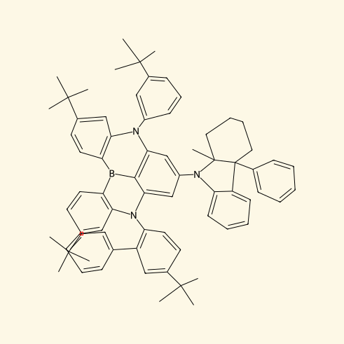 CC(C)(C)c1cccc(N2c3cc(C(C)(C)C)ccc3B3c4ccc(C(C)(C)C)cc4N(c4ccc(C(C)(C)C)cc4-c4ccccc4)c4cc(N5c6ccccc6C6(c7ccccc7)CCCCC56C)cc2c43)c1